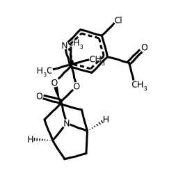 CC(=O)c1cc(O[C@H]2C[C@H]3CC[C@@H](C2)N3C(=O)OC(C)(C)C)ncc1Cl